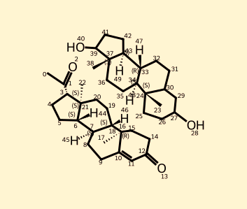 CC(=O)[C@H]1CC[C@H]2[C@@H]3CCC4=CC(=O)CC[C@]4(C)[C@H]3CC[C@]12C.C[C@]12CCC(O)CC1CC[C@@H]1[C@@H]2CC[C@]2(C)C(O)CC[C@@H]12